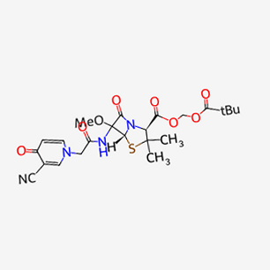 COC1(NC(=O)Cn2ccc(=O)c(C#N)c2)C(=O)N2[C@@H](C(=O)OCOC(=O)C(C)(C)C)C(C)(C)S[C@@H]21